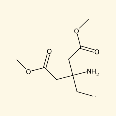 [CH2]CC(N)(CC(=O)OC)CC(=O)OC